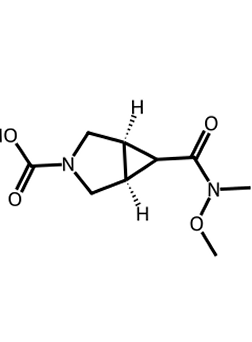 CON(C)C(=O)C1[C@H]2CN(C(=O)O)C[C@@H]12